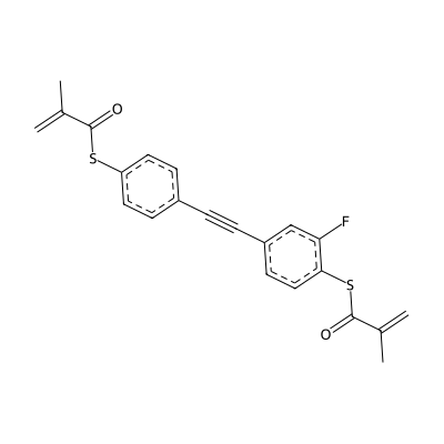 C=C(C)C(=O)Sc1ccc(C#Cc2ccc(SC(=O)C(=C)C)c(F)c2)cc1